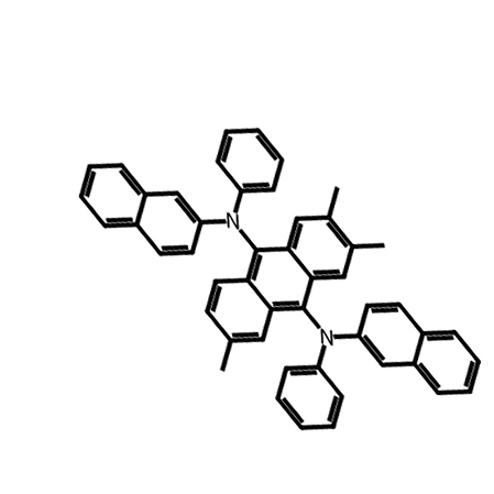 Cc1ccc2c(N(c3ccccc3)c3ccc4ccccc4c3)c3cc(C)c(C)cc3c(N(c3ccccc3)c3ccc4ccccc4c3)c2c1